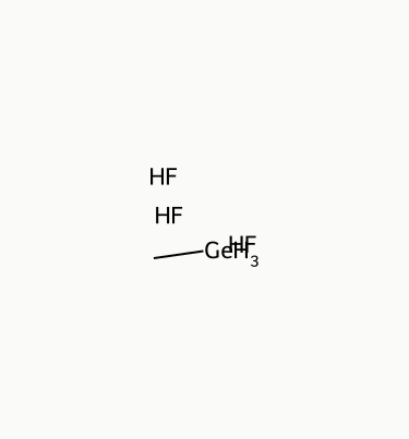 F.F.F.[CH3][GeH3]